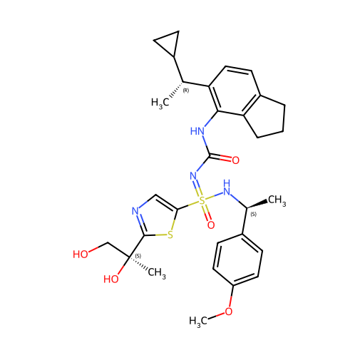 COc1ccc([C@H](C)NS(=O)(=NC(=O)Nc2c([C@H](C)C3CC3)ccc3c2CCC3)c2cnc([C@@](C)(O)CO)s2)cc1